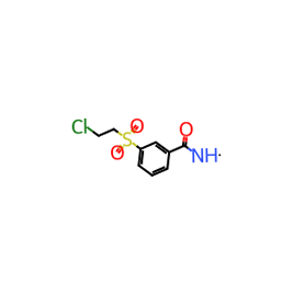 [NH]C(=O)c1cccc(S(=O)(=O)CCCl)c1